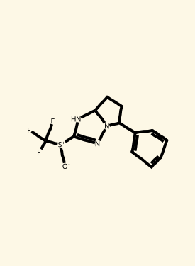 [O-][S+](C1=NN2C(CCC2c2ccccc2)N1)C(F)(F)F